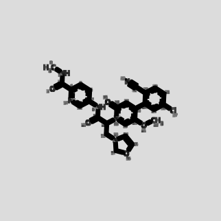 CNC(=O)c1ccc(NC(=O)C(CN2C=COC2)n2cc(OC)c(-c3cc(Cl)ccc3C#N)cc2=O)cn1